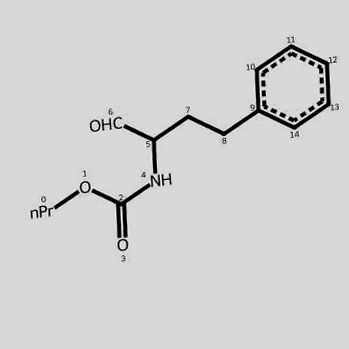 CCCOC(=O)NC(C=O)CCc1ccccc1